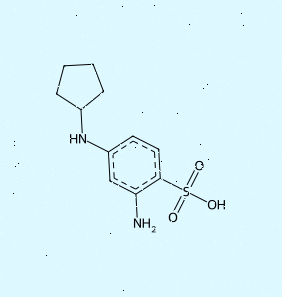 Nc1cc(NC2CCCC2)ccc1S(=O)(=O)O